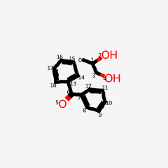 CC(O)CO.O=C(c1ccccc1)c1ccccc1